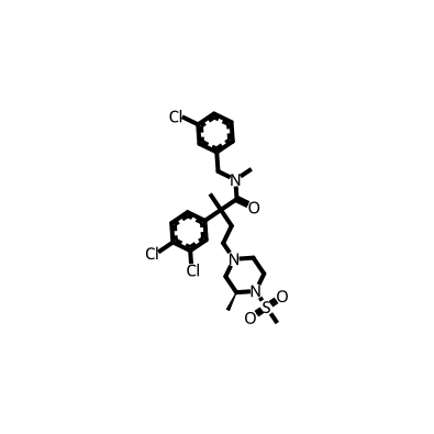 C[C@H]1CN(CCC(C)(C(=O)N(C)Cc2cccc(Cl)c2)c2ccc(Cl)c(Cl)c2)CCN1S(C)(=O)=O